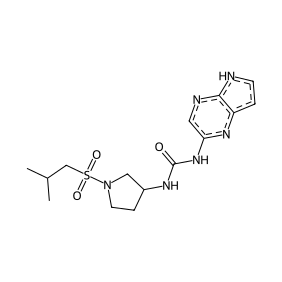 CC(C)CS(=O)(=O)N1CCC(NC(=O)Nc2cnc3[nH]ccc3n2)C1